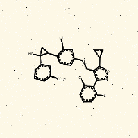 N#CC1(c2cccc(C(=O)O)c2)CC1c1ccc(OCc2c(-c3c(Cl)cccc3Cl)noc2C2CC2)cc1Cl